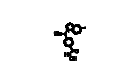 Cc1ccc2c(ccn2C(c2ccc(C(=O)NO)cc2)C(C)(C)C)c1